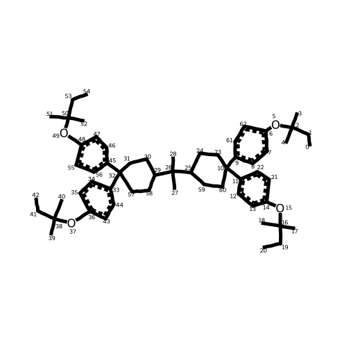 CCC(C)(C)Oc1ccc(C2(c3ccc(OC(C)(C)CC)cc3)CCC(C(C)(C)C3CCC(c4ccc(OC(C)(C)CC)cc4)(c4ccc(OC(C)(C)CC)cc4)CC3)CC2)cc1